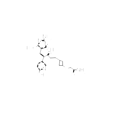 Cc1ccc(/C(=C/c2c(C)nc(N)nc2C)C(=O)CCC2CC(OCC(N)=O)C2)cn1